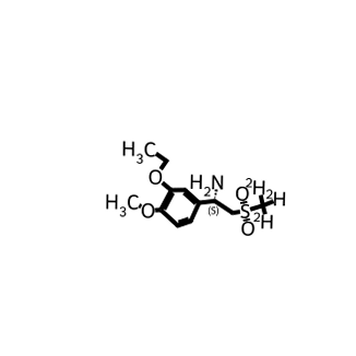 [2H]C([2H])([2H])S(=O)(=O)C[C@@H](N)c1ccc(OC)c(OCC)c1